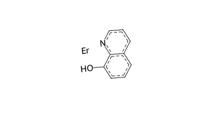 Oc1cccc2cccnc12.[Er]